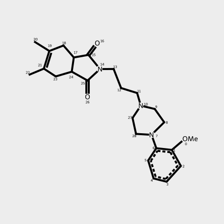 COc1ccccc1N1CCN(CCCN2C(=O)C3CC(C)=C(C)CC3C2=O)CC1